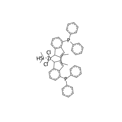 CCC1=Cc2c(cccc2P(c2ccccc2)c2ccccc2)[CH]1[Zr]([Cl])([Cl])([CH]1C(CC)=Cc2c1cccc2P(c1ccccc1)c1ccccc1)[SiH](C)C